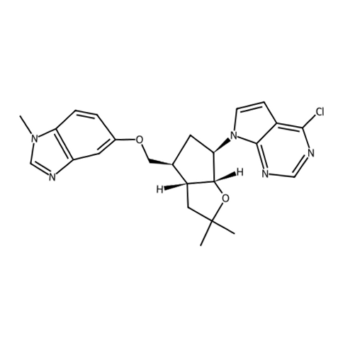 Cn1cnc2cc(OC[C@H]3C[C@@H](n4ccc5c(Cl)ncnc54)[C@@H]4OC(C)(C)C[C@H]34)ccc21